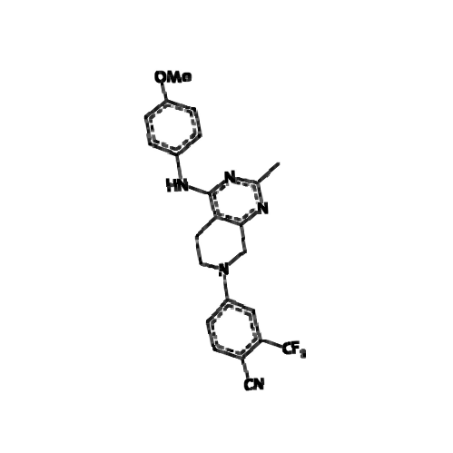 COc1ccc(Nc2nc(C)nc3c2CCN(c2ccc(C#N)c(C(F)(F)F)c2)C3)cc1